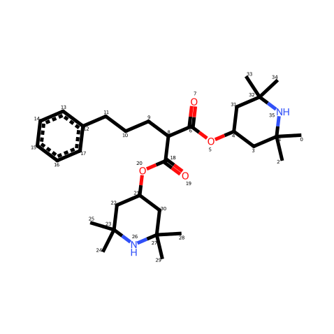 CC1(C)CC(OC(=O)C(CCCc2ccccc2)C(=O)OC2CC(C)(C)NC(C)(C)C2)CC(C)(C)N1